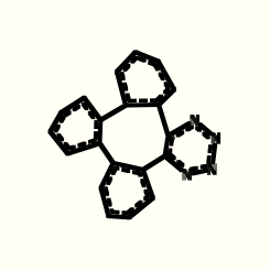 c1ccc2c(c1)-c1ccccc1-c1nnnnc1-c1ccccc1-2